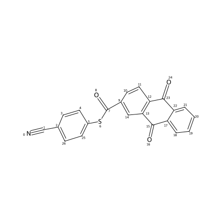 N#Cc1ccc(SC(=O)c2ccc3c(c2)C(=O)c2ccccc2C3=O)cc1